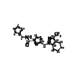 O=C(NCc1cccs1)c1csc(Cn2nc(C(F)(F)F)c3c2CCCC3)n1